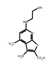 Cc1cc(NCCO)nc2sc(C(=O)O)c(N)c12